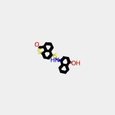 O=C1Sc2ccc(SNc3ccc(O)c4ccccc34)c3cccc1c23